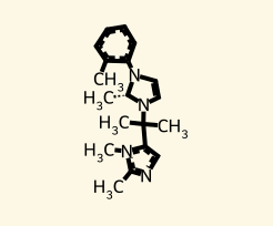 Cc1ccccc1N1C=CN(C(C)(C)c2cnc(C)n2C)[C@@H]1C